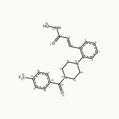 O=C(C=Cc1ccccc1N1CCN(C(=O)c2ccc(C(F)(F)F)cc2)CC1)NO